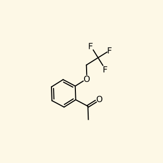 CC(=O)c1ccccc1OCC(F)(F)F